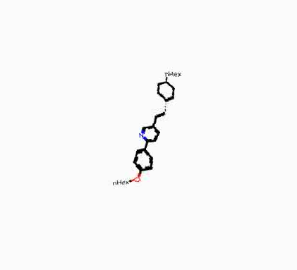 CCCCCCOc1ccc(-c2ccc(CC[C@H]3CC[C@H](CCCCCC)CC3)cn2)cc1